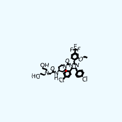 CCOc1cc(C(F)(F)F)ccc1C1=NC(c2ccc(Cl)cc2)C(c2ccc(Cl)cc2)N1C(=O)N1CCC(NC(=O)CN(CCO)CCO)CC1